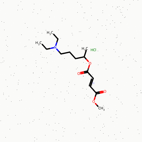 CCN(CC)CCCC(C)OC(=O)/C=C/C(=O)OC.Cl